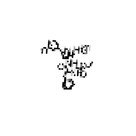 CCOC(=O)CN[C@@H](Cc1ccccc1)C(=O)Nc1cc(-c2ccnc(OC)c2)nn1C.Cl.Cl